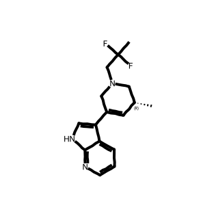 C[C@@H]1C=C(c2c[nH]c3ncccc23)CN(CC(C)(F)F)C1